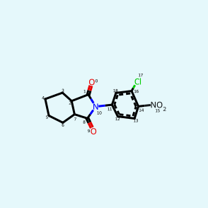 O=C1C2CCCCC2C(=O)N1c1ccc([N+](=O)[O-])c(Cl)c1